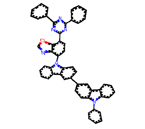 c1ccc(-c2nc(-c3ccccc3)nc(-c3ccc(-n4c5ccccc5c5cc(-c6ccc7c(c6)c6ccccc6n7-c6ccccc6)ccc54)c4ncoc34)n2)cc1